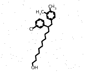 Cc1ccc(CC(CCCCCCCCCCO)c2cccc(Cl)c2)cc1C